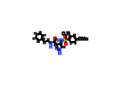 COc1ccc(S(=O)(=O)Nc2c[nH]nc2C(=O)NCCc2ccccc2)c([N+](=O)[O-])c1